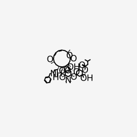 CO[C@@H]1[C@@H](O[C@@H]2O[C@H](C)[C@@H](O[C@H]3C[C@@](C)(O)[C@@H](OC(=O)CC(C)C)[C@H](C)O3)[C@H](N(C)C)[C@H]2O)[C@@H](CCNCc2ccccc2)C[C@@H](C)C(=O)C=CC=CC[C@@H](C)OC(=O)C[C@H]1O